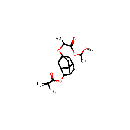 C=C(C)C(=O)OC1C2CC3CC1CC(OC(C)C(=O)OC(C)OCC)(C3)C2